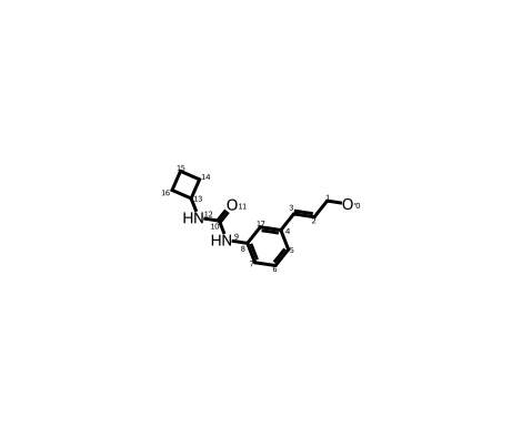 [O]CC=Cc1cccc(NC(=O)NC2CCC2)c1